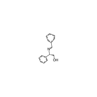 OC[C@H](/N=C/c1ccccc1)c1ccccc1